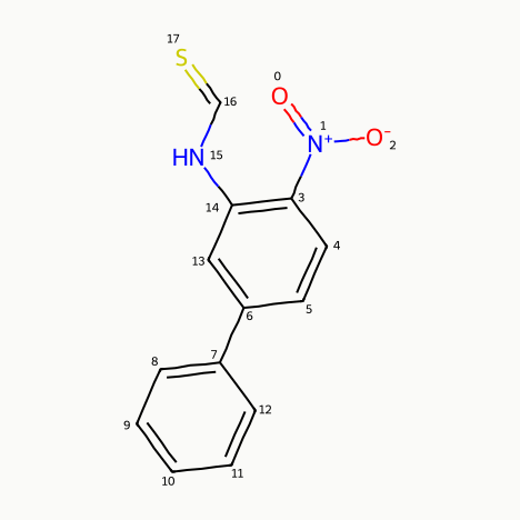 O=[N+]([O-])c1ccc(-c2ccccc2)cc1NC=S